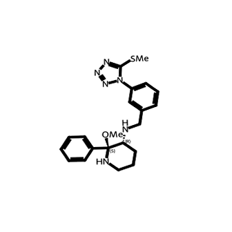 CO[C@]1(c2ccccc2)NCCC[C@H]1NCc1cccc(-n2nnnc2SC)c1